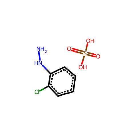 NNc1ccccc1Cl.O=S(=O)(O)O